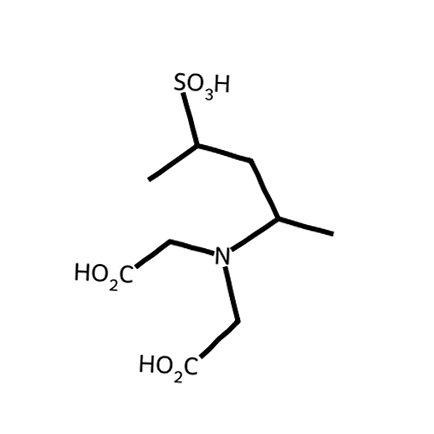 CC(CC(C)S(=O)(=O)O)N(CC(=O)O)CC(=O)O